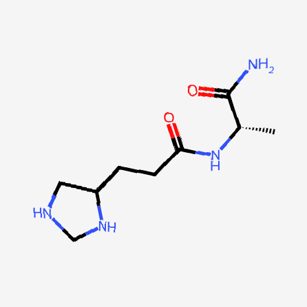 C[C@H](NC(=O)CCC1CNCN1)C(N)=O